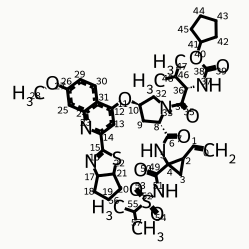 C=CC1CC1(NC(=O)[C@@H]1C[C@@H](Oc2cc(C3=NC4CCCC4S3)nc3cc(OC)ccc23)CN1C(=O)[C@@H](NC(=O)OC1CCCC1)C(C)C)C(=O)NS(=O)(=O)C(C)C